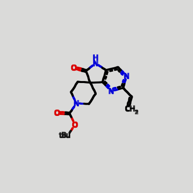 C=Cc1ncc2c(n1)C1(CCN(C(=O)OC(C)(C)C)CC1)C(=O)N2